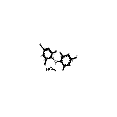 CO.Cc1cc(C)c(Oc2c(C)cc(C)cc2C)c(C)c1